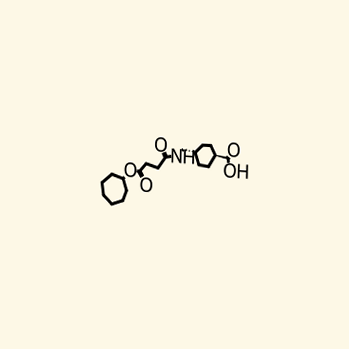 O=C(CCC(=O)OC1CCCCCC1)NC[C@H]1CC[C@H](C(=O)O)CC1